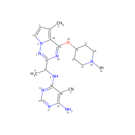 Cc1ccn2nc(C(C)Nc3ncnc(N)c3C#N)nc(OC3CCN(C(C)C)CC3)c12